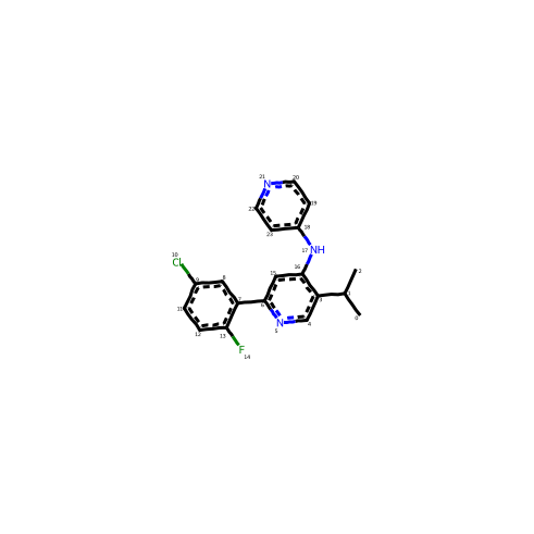 CC(C)c1cnc(-c2cc(Cl)ccc2F)cc1Nc1ccncc1